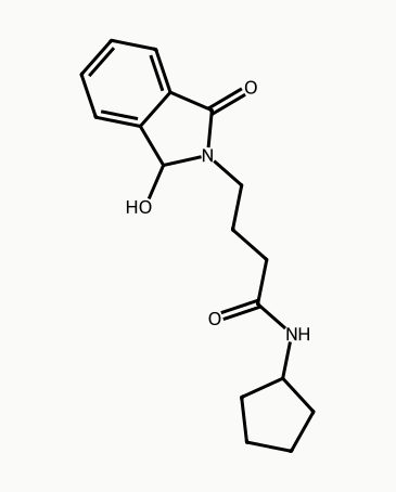 O=C(CCCN1C(=O)c2ccccc2C1O)NC1CCCC1